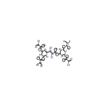 C=C(C)C(=O)Oc1cc(OC(=O)C(=C)C)cc(OC(=O)/C(C)=C(\C)c2cc(OC(=O)C(=C)C)cc(OC(=O)C(=C)C)c2)c1